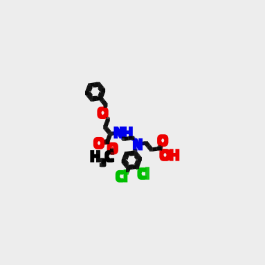 COC(=O)C(CCOCc1ccccc1)NCCN(CCC(=O)O)c1ccc(Cl)c(Cl)c1